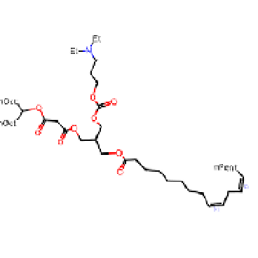 CCCCC/C=C\C/C=C\CCCCCCCC(=O)OCC(COC(=O)CC(=O)OC(CCCCCCCC)CCCCCCCC)COC(=O)OCCCN(CC)CC